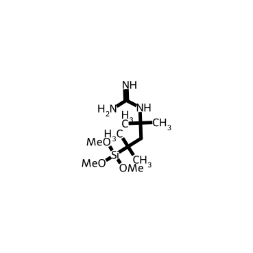 CO[Si](OC)(OC)C(C)(C)CC(C)(C)NC(=N)N